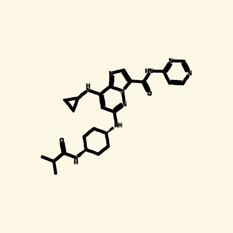 CC(C)C(=O)N[C@H]1CC[C@H](Nc2cc(NC3CC3)c3ncc(C(=O)Nc4ccncn4)n3n2)CC1